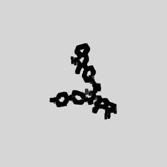 C=C1Nc2ccccc2C=C1C1CCN(C(=C)N[C@H](Cc2cc(C)c3[nH]ncc3c2)C(=C)N2CCN(C3CCN(C)CC3)CC2)CC1